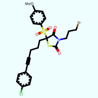 COc1ccc(S(=O)(=O)C2(CCCC#Cc3ccc(Cl)cc3)SC(=O)N(CCCBr)C2=O)cc1